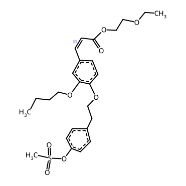 CCCCOc1cc(/C=C\C(=O)OCCOCC)ccc1OCCc1ccc(OS(C)(=O)=O)cc1